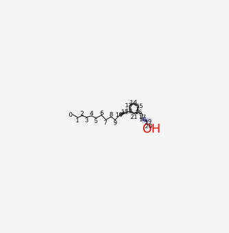 CCCCCCCCCCC#Cc1cccc(C/C=C/O)c1